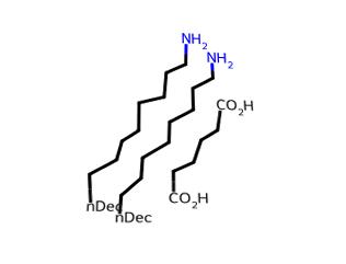 CCCCCCCCCCCCCCCCCCN.CCCCCCCCCCCCCCCCCCN.O=C(O)CCCCC(=O)O